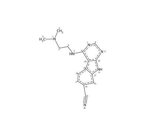 CN(C)CCNc1ncnc2[nH]c3cc(C#N)ccc3c12